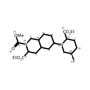 CCOC(=O)C1CC2CC(N3C[C@H](F)CCC3C(=O)OCC)CCC2CN1C(=O)OC